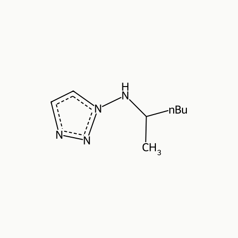 C[CH]CCC(C)Nn1ccnn1